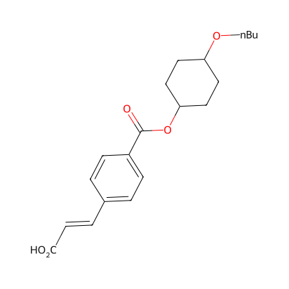 CCCCOC1CCC(OC(=O)c2ccc(C=CC(=O)O)cc2)CC1